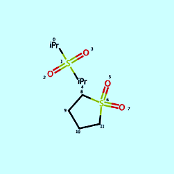 CC(C)S(=O)(=O)C(C)C.O=S1(=O)CCCC1